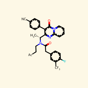 CC(=O)CCN(C(=O)Cc1ccc(F)c(C(F)(F)F)c1)[C@H](C)c1nc2ccccn2c(=O)c1-c1ccc(C#N)cc1